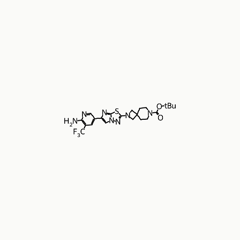 CC(C)(C)OC(=O)N1CCC2(CC1)CN(c1nn3cc(-c4cnc(N)c(C(F)(F)F)c4)nc3s1)C2